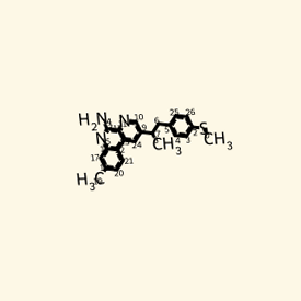 CSc1ccc(CC(C)c2cnc3c(N)nc4cc(C)ccc4c3c2)cc1